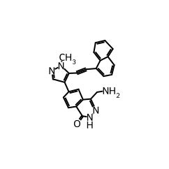 Cn1ncc(-c2ccc3c(=O)[nH]nc(CN)c3c2)c1C#Cc1cccc2ccccc12